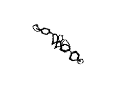 COC1CCC(C2CC[C@]3(CC2)C[C@@]2(CC[C@H](C4CCC(OC)CC4)CC2)C3(Cl)Cl)CC1